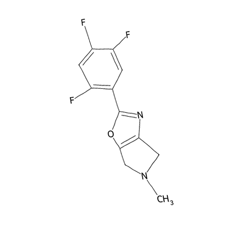 CN1Cc2nc(-c3cc(F)c(F)cc3F)oc2C1